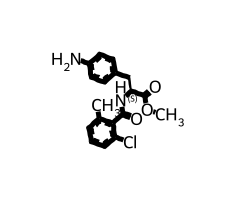 COC(=O)[C@H](Cc1ccc(N)cc1)NC(=O)c1c(C)cccc1Cl